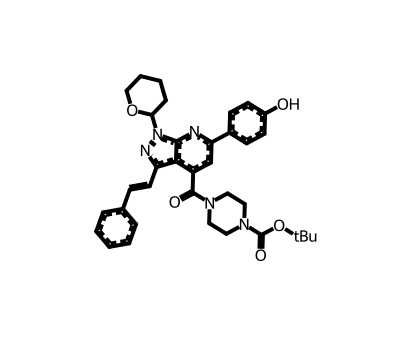 CC(C)(C)OC(=O)N1CCN(C(=O)c2cc(-c3ccc(O)cc3)nc3c2c(C=Cc2ccccc2)nn3C2CCCCO2)CC1